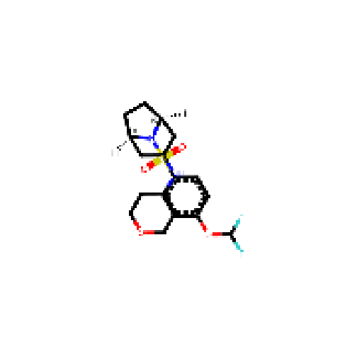 O=S(=O)(c1ccc(OC(F)F)cc1)N1[C@@H]2CC[C@H]1CC(NC1CCOCC1)C2